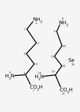 NCCCCC(N)C(=O)O.NCCCCC(N)C(=O)O.[Se]